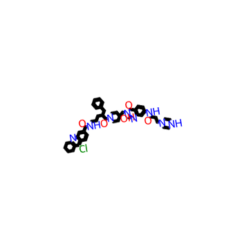 O=C(CCN1CCNCC1)Nc1ccc2c(=O)n(CC3(O)CCN(C(=O)C(CCCNC(=O)c4ccc5c(Cl)c6c(nc5c4)CCCC6)Cc4ccccc4)CC3)cnc2c1